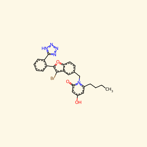 CCCCc1cc(O)cc(=O)n1Cc1ccc2oc(-c3ccccc3-c3nnn[nH]3)c(Br)c2c1